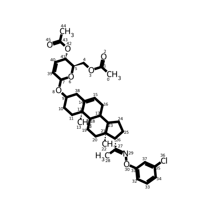 CC(=O)OC[C@H]1OC(OC2CC[C@@]3(C)C(=CCC4C3CC[C@@]3(C)C4CC[C@@H]3/C(C)=N/Oc3cccc(Cl)c3)C2)C=C[C@@H]1OC(C)=O